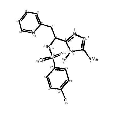 CCn1c(SC)nnc1C(Cc1ccccn1)NS(=O)(=O)c1ccc(Cl)cc1